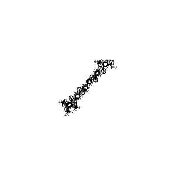 CCC(=O)c1cc(C(=O)Oc2ccc(C(=O)Oc3ccc(-c4ccc(OC(=O)c5ccc(OC(=O)c6cc(OC(C)C)c(OC(C)C)cc6OC(C)C)cc5)cc4)cc3)cc2)c(OC(C)C)cc1C